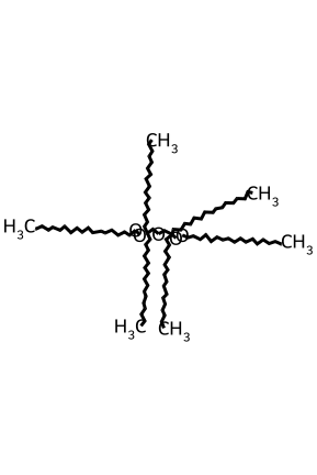 CCCCCCCCCCCCCCCCCCOOC(CCCCCCCCCCCCCCCC)(CCCCCCCCCCCCCCCC)COCC(CCCCCCCCCCCCCCCC)(CCCCCCCCCCCCCCCC)OOCCCCCCCCCCCCCCCCCC